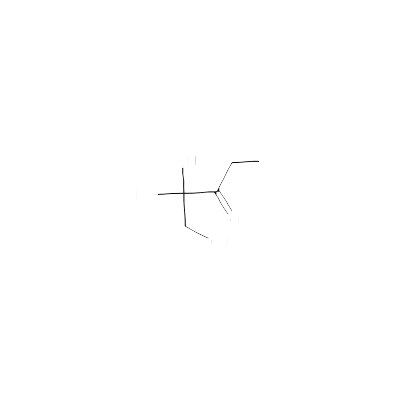 CCC(C)(O)C(=O)CCl